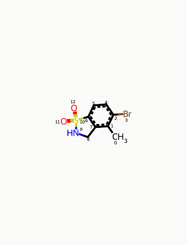 Cc1c(Br)ccc2c1CNS2(=O)=O